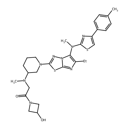 CCc1nc2sc(N3CCCC(N(C)CC(=O)N4CC(O)C4)C3)nn2c1N(C)c1nc(-c2ccc(C)cc2)cs1